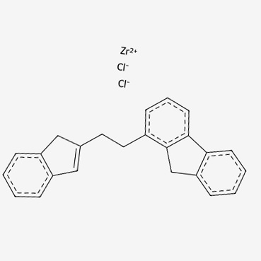 C1=C(CCc2cccc3c2Cc2ccccc2-3)Cc2ccccc21.[Cl-].[Cl-].[Zr+2]